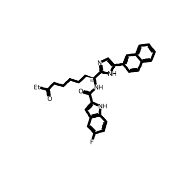 CCC(=O)CCCCC[C@H](NC(=O)c1cc2cc(F)ccc2[nH]1)c1ncc(-c2ccc3ccccc3c2)[nH]1